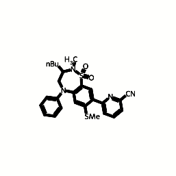 CCCCC1CN(c2ccccc2)c2cc(SC)c(-c3cccc(C#N)n3)cc2S(=O)(=O)N1C